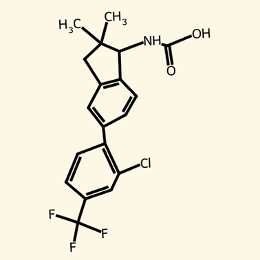 CC1(C)Cc2cc(-c3ccc(C(F)(F)F)cc3Cl)ccc2C1NC(=O)O